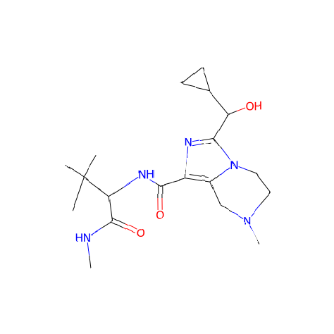 CNC(=O)C(NC(=O)c1nc(C(O)C2CC2)n2c1CN(C)CC2)C(C)(C)C